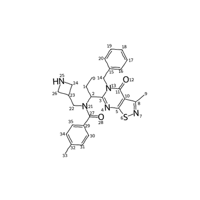 CCC(c1nc2snc(C)c2c(=O)n1Cc1ccccc1)N(CC1CNC1)C(=O)c1ccc(C)cc1